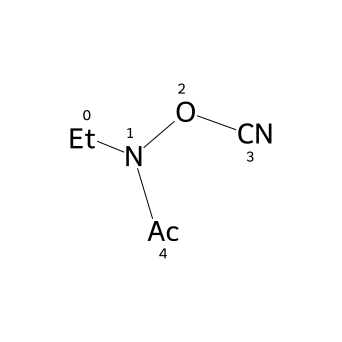 CCN(OC#N)C(C)=O